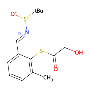 Cc1cccc(/C=N/[S+]([O-])C(C)(C)C)c1SC(=O)CO